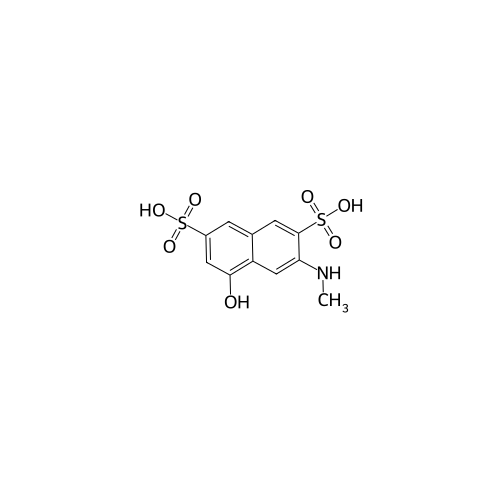 CNc1cc2c(O)cc(S(=O)(=O)O)cc2cc1S(=O)(=O)O